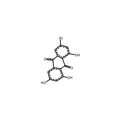 CC(=O)c1cc(O)c2c(c1)C(=O)c1cc(O)cc(O)c1C2=O